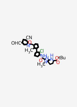 Cc1c(-c2nc3cc(C=O)cc(C#N)c3o2)cccc1-c1cccc(NC(=O)c2nc3c(n2C)CCC(C(=O)OC(C)(C)C)N3)c1Cl